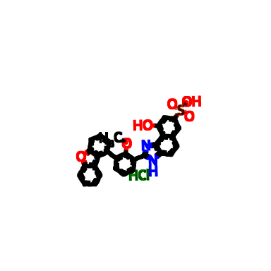 COc1c(-c2nc3c(ccc4cc(S(=O)(=O)O)cc(O)c43)[nH]2)cccc1-c1cccc2oc3ccccc3c12.Cl